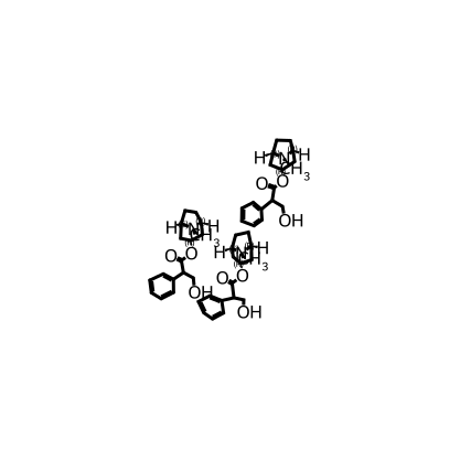 CN1[C@@H]2CC[C@H]1C[C@@H](OC(=O)C(CO)c1ccccc1)C2.CN1[C@@H]2CC[C@H]1C[C@@H](OC(=O)C(CO)c1ccccc1)C2.CN1[C@@H]2CC[C@H]1C[C@@H](OC(=O)C(CO)c1ccccc1)C2